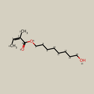 CC=C(C)C(=O)OCCCCCCCCO